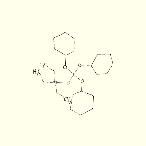 CC[Si](CC)(CC)[O][Ti]([O]C1CCCCC1)([O]C1CCCCC1)[O]C1CCCCC1